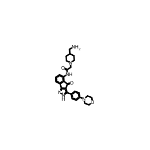 NCC1CCN(CC(=O)Nc2cccc3c2C(=O)c2c-3n[nH]c2-c2ccc(N3CCOCC3)cc2)CC1